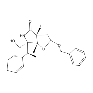 C[C@@H]([C@@H]1C=CCCC1)[C@@]1(CO)NC(=O)[C@@H]2CC(OCc3ccccc3)O[C@@]21C